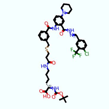 CC(C)(C)OC(=O)N[C@@H](CCCCNC(=O)CCSCc1cccc(C(=O)Nc2ccc(N3CCCCC3)cc2C(=O)N/N=C/c2ccc(Cl)c(C(F)(F)F)c2)c1)C(=O)O